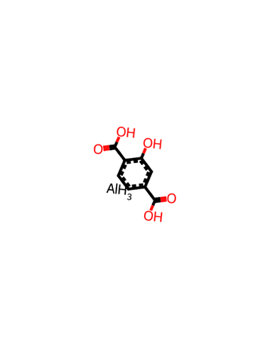 O=C(O)c1ccc(C(=O)O)c(O)c1.[AlH3]